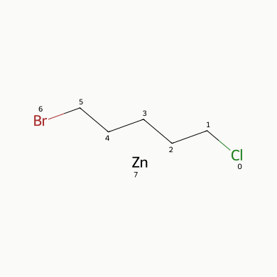 ClCCCCCBr.[Zn]